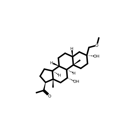 COC[C@@]1(O)CC[C@@]2(C)[C@H](CC[C@@H]3[C@@H]2[C@H](O)C[C@]2(C)[C@@H](C(C)=O)CC[C@@H]32)C1